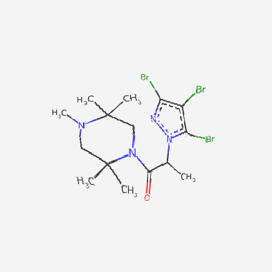 CC(C(=O)N1CC(C)(C)N(C)CC1(C)C)n1nc(Br)c(Br)c1Br